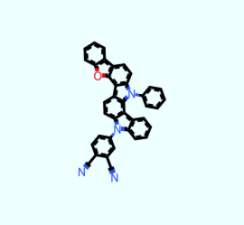 N#Cc1ccc(-n2c3ccccc3c3c2ccc2c4c5oc6ccccc6c5ccc4n(-c4ccccc4)c23)cc1C#N